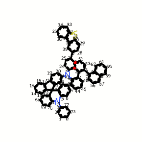 c1ccc(N2c3ccccc3C3(c4ccccc4-c4ccc(N(c5ccc(-c6ccc7sc8ccccc8c7c6)cc5)c5ccccc5-c5ccccc5-c5cccc6ccccc56)cc43)c3ccccc32)cc1